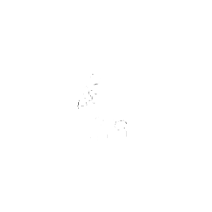 CC(c1ccc(F)cc1)c1cc(CCNS(=O)(=O)c2ccc(Cl)cc2)cc(CCC(=O)O)c1